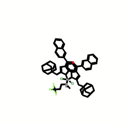 C[SiH](CCC(F)(F)F)[Zr]([Cl])([Cl])([CH]1C(CC23CC4CC(CC(C4)C2)C3)=Cc2c(-c3ccc4ccccc4c3)cccc21)[CH]1C(CC23CC4CC(CC(C4)C2)C3)=Cc2c(-c3ccc4ccccc4c3)cccc21